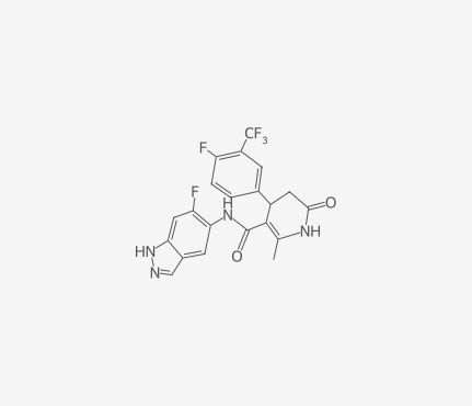 CC1=C(C(=O)Nc2cc3cn[nH]c3cc2F)C(c2ccc(F)c(C(F)(F)F)c2)CC(=O)N1